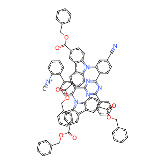 [C-]#[N+]c1ccccc1-c1ccc(-n2c3ccc(C(=O)OCc4ccccc4)cc3c3cc(C(=O)OCc4ccccc4)ccc32)c(-c2nc(-c3ccccc3)nc(-c3ccc(C#N)cc3-n3c4ccc(C(=O)OCc5ccccc5)cc4c4cc(C(=O)OCc5ccccc5)ccc43)n2)c1